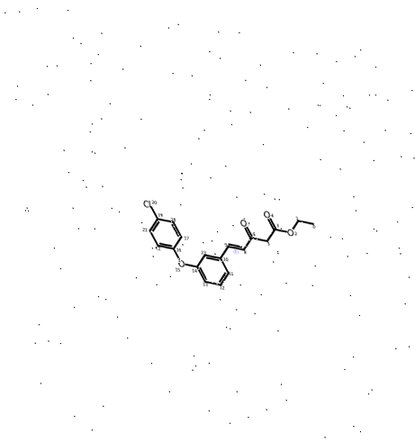 CCOC(=O)CC(=O)/C=C/c1cccc(Oc2ccc(Cl)cc2)c1